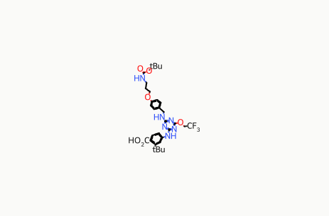 CC(C)(C)OC(=O)NCCCOc1ccc(CNc2nc(Nc3ccc(C(=O)O)c(C(C)(C)C)c3)nc(OCC(F)(F)F)n2)cc1